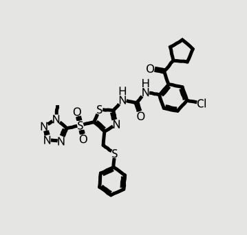 Cn1nnnc1S(=O)(=O)c1sc(NC(=O)Nc2ccc(Cl)cc2C(=O)C2CCCC2)nc1CSc1ccccc1